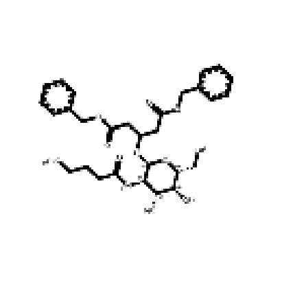 CCCCCCCCCCCCCC(=O)N[C@H]1[C@@H](OC(CC(=O)OCc2ccccc2)CC(=O)OCc2ccccc2)O[C@H](CO)[C@@H](O)[C@@H]1O